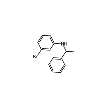 CC(Nc1cccc(Br)c1)c1ccccc1